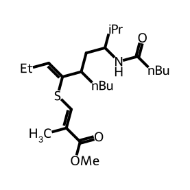 CC/C=C(\S/C=C(\C)C(=O)OC)C(CCCC)CC(NC(=O)CCCC)C(C)C